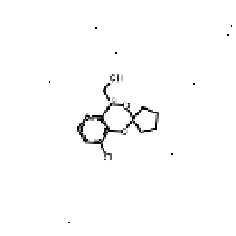 OC[C@H]1OC2(CCCC2)Oc2c(Cl)cccc21